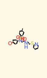 COc1ccc(N(CC(=O)NCCSc2ccccn2)S(=O)(=O)c2ccc(C)cc2)cc1